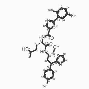 CC(O)CC[C@H](NC(=O)c1cnc(-c2cc(F)ccc2F)s1)C(=O)N[C@H](CO)CC(c1ccc(F)cc1)c1nccs1